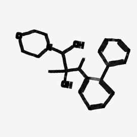 CC(c1ccccc1-c1ccccc1)C(C)(O)C(O)N1CCOCC1